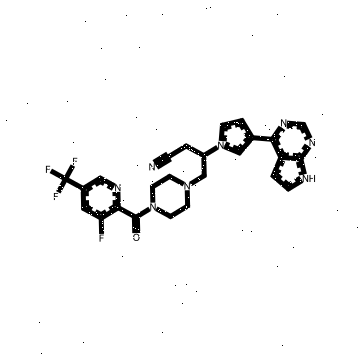 N#CCC(CN1CCN(C(=O)c2ncc(C(F)(F)F)cc2F)CC1)n1ccc(-c2ncnc3[nH]ccc23)c1